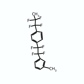 Cc1cccc(C(F)(F)C(F)(F)c2ccc(C(F)(F)C(C)(F)F)cc2)c1